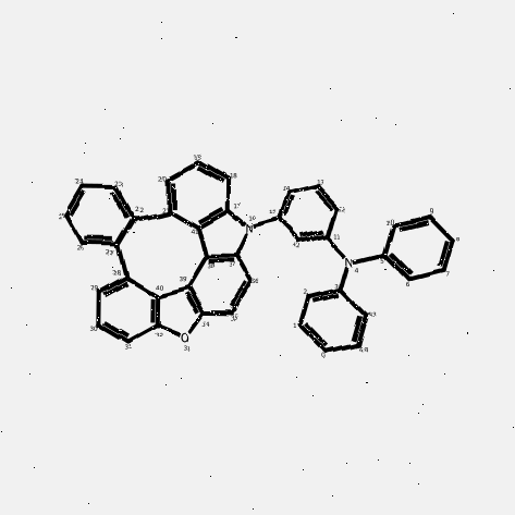 c1ccc(N(c2ccccc2)c2cccc(-n3c4cccc5c6ccccc6c6cccc7oc8ccc3c(c8c76)c54)c2)cc1